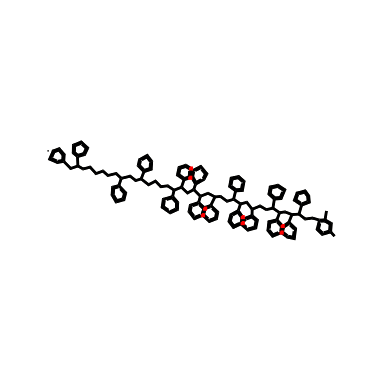 Cc1ccc(CCC(c2ccccc2)C(CC(c2ccccc2)C(CCC(CC(c2ccccc2)C(CCC(CC(c2ccccc2)C(CC(c2ccccc2)C(CCCCC(CCC(CCCCCCC(Cc2cc[c]cc2)c2ccccc2)c2ccccc2)c2ccccc2)c2ccccc2)c2ccccc2)c2ccccc2)c2ccccc2)c2ccccc2)c2ccccc2)c2ccccc2)c(C)c1